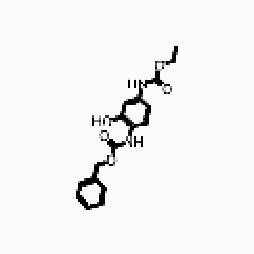 CCOC(=O)Nc1ccc(NC(=O)OCc2ccccc2)c(O)c1